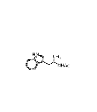 CC(=O)NC(C)Cc1c[nH]c2ccccc12